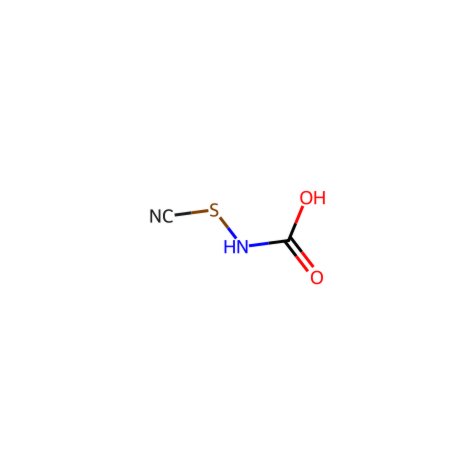 N#CSNC(=O)O